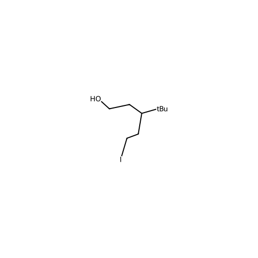 CC(C)(C)C(CCO)CCI